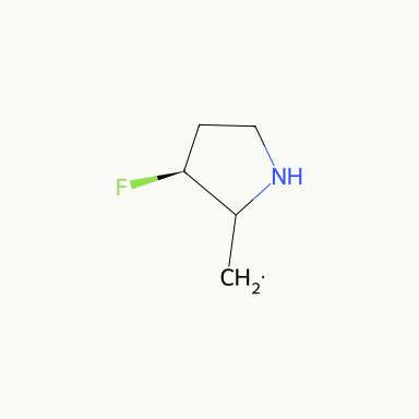 [CH2]C1NCC[C@@H]1F